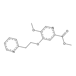 COC(=O)c1cc(OCCc2ccccn2)c(OC)cn1